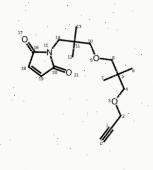 C#CCOCC(C)(C)COCC(C)(C)CN1C(=O)C=CC1=O